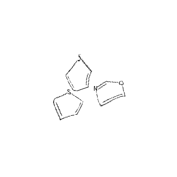 c1ccsc1.c1ccsc1.c1cocn1